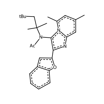 CC(=O)N(c1c(-c2cc3ccccc3o2)nc2cc(C)cc(C)n12)C(C)(C)CC(C)(C)C